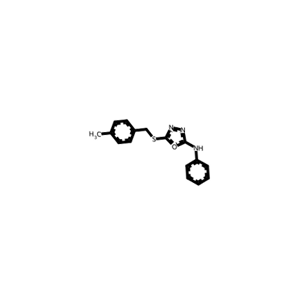 Cc1ccc(CSc2nnc(Nc3ccccc3)o2)cc1